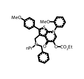 CCCN(Cc1ccccc1)Cc1c(-c2ccc(OC)cc2)sc2c1c(=O)c(OC(=O)OCC)cn2-c1ccccc1OC